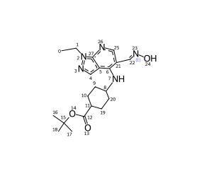 CCn1ncc2c(NC3CCC(C(=O)OC(C)(C)C)CC3)c(/C=N/O)cnc21